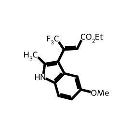 CCOC(=O)C=C(c1c(C)[nH]c2ccc(OC)cc12)C(F)(F)F